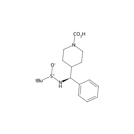 CC(C)(C)[S+]([O-])N[C@H](c1ccccc1)C1CCN(C(=O)O)CC1